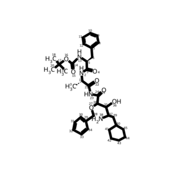 C[C@H](NC(=O)[C@H](Cc1ccccc1)NC(=O)OC(C)(C)C)C(=O)NC(=O)C(OCc1ccccc1)C(O)C(N)CC1CCCCC1